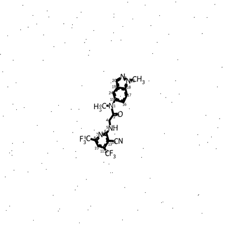 CN(C(=O)CNc1nc(C(F)(F)F)cc(C(F)(F)F)c1C#N)c1ccc2c(cnn2C)c1